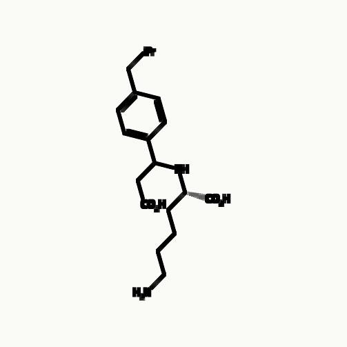 CC(C)Cc1ccc(C(CC(=O)O)N[C@@H](CCCCN)C(=O)O)cc1